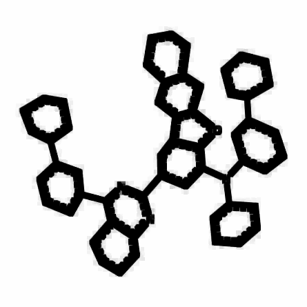 c1ccc(-c2cccc(-c3nc(-c4cc(N(c5ccccc5)c5cccc(-c6ccccc6)c5)c5oc6cc7ccccc7cc6c5c4)nc4ccccc34)c2)cc1